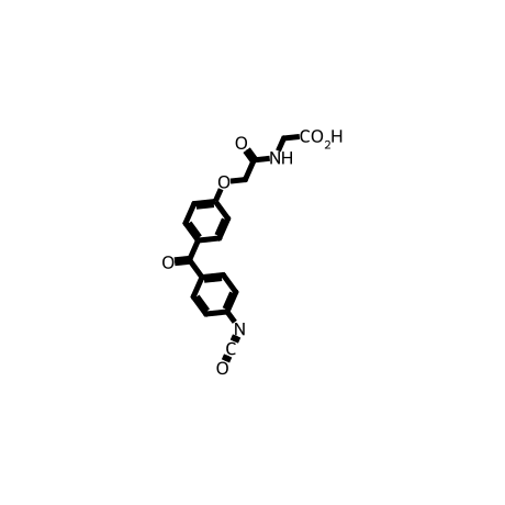 O=C=Nc1ccc(C(=O)c2ccc(OCC(=O)NCC(=O)O)cc2)cc1